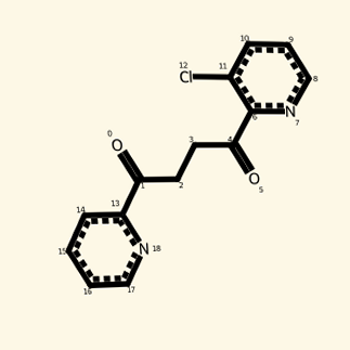 O=C(CCC(=O)c1ncccc1Cl)c1ccccn1